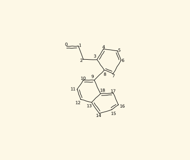 C=CCc1ccccc1-c1cccc2ccccc12